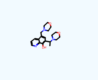 CC(c1cc(CN2CCOCC2)c2cccnc2c1O)N1CCOCC1